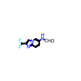 O=CNc1ccc2nc(C(F)F)cn2c1